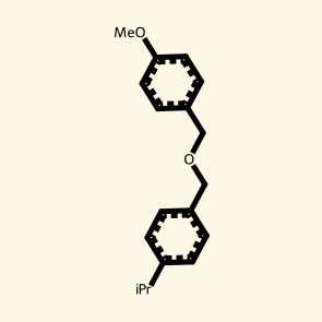 COc1ccc(COCc2ccc(C(C)C)cc2)cc1